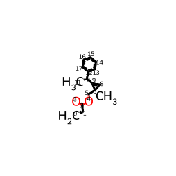 C=CC(=O)OC[C@]1(C)C=C1[C@@H](C)c1ccccc1